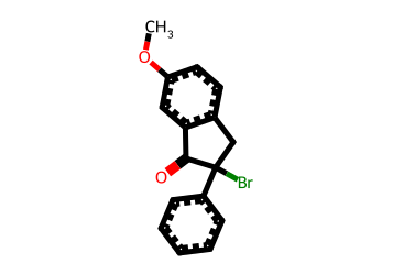 COc1ccc2c(c1)C(=O)C(Br)(c1ccccc1)C2